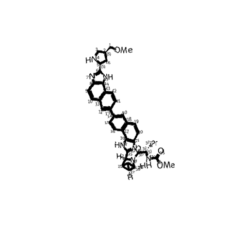 COC[C@@H]1CN[C@H](c2nc3ccc4cc(-c5ccc6c(ccc7nc([C@@H]8C9C%10[C@H]9[C@@H]%10N8C(=O)[C@@H](NC(=O)OC)C(C)C)[nH]c76)c5)ccc4c3[nH]2)C1